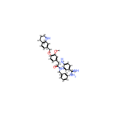 COc1cc([C@H](Nc2ccc(C(=N)N)cc2)C(=O)NCc2ccccc2)ccc1OCc1ccc2c(c1)NCCC2